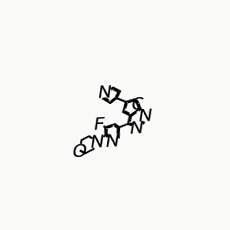 Fc1cc(-c2ncnc3ccc(-c4ccncc4)cc23)cnc1N1CCOCC1